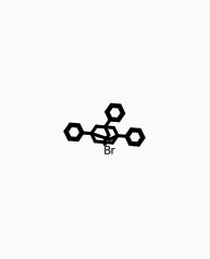 BrC12CC3(c4ccccc4)CC(c4ccccc4)(C1)CC(c1ccccc1)(C2)C3